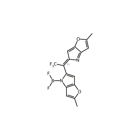 Cc1cc2c(o1)=C/C(=C(/c1cc3oc(C)cc3n1B(F)F)C(F)(F)F)N=2